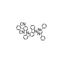 N#Cc1cccc(C#N)c1-c1cccc(-n2c3ccccc3c3ccc4c(c5ccccc5n4-c4nc(-c5ccccc5)cc(-c5ccccc5)n4)c32)c1